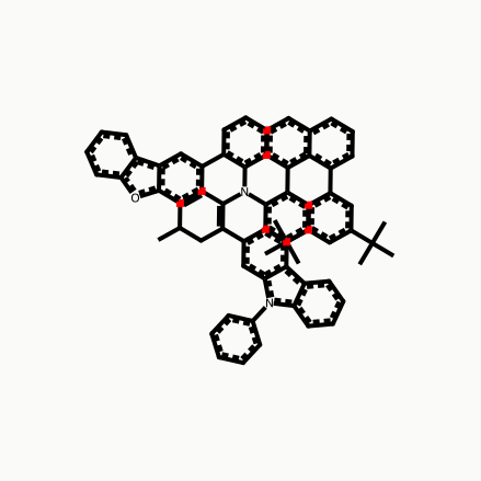 CC1C=CC(N(c2ccccc2-c2ccc3oc4ccccc4c3c2)c2ccccc2-c2cccc3cccc(-c4cc(C(C)(C)C)cc(C(C)(C)C)c4)c23)=C(c2ccc3c4ccccc4n(-c4ccccc4)c3c2)C1